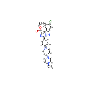 CCOC(=O)c1nc(-c2ccc(N3CCC(N4CCN(C)CC4)CC3)cc2)[nH]c1-c1ccc(Cl)cc1